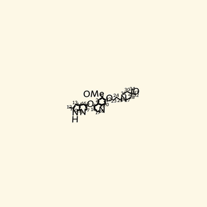 COc1cc2c(Oc3cnc4[nH]c(C)cc4c3)ccnc2cc1OCCCN1CCC2(CC1)COC2